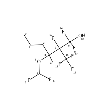 CCCC(C)(OC(F)F)C(F)(C(O)(F)F)C(F)(F)F